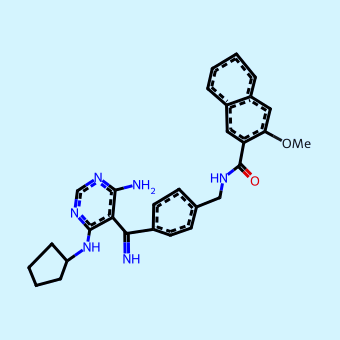 COc1cc2ccccc2cc1C(=O)NCc1ccc(C(=N)c2c(N)ncnc2NC2CCCC2)cc1